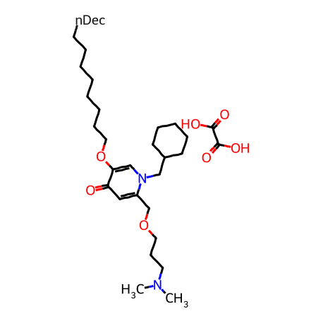 CCCCCCCCCCCCCCCCCCOc1cn(CC2CCCCC2)c(COCCCN(C)C)cc1=O.O=C(O)C(=O)O